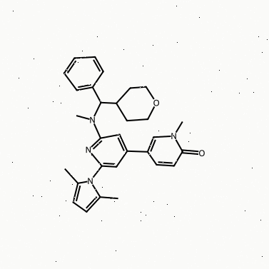 Cc1ccc(C)n1-c1cc(-c2ccc(=O)n(C)c2)cc(N(C)C(c2ccccc2)C2CCOCC2)n1